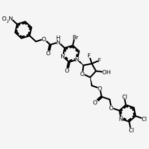 O=C(COc1nc(Cl)c(Cl)cc1Cl)OC[C@H]1O[C@@H](n2cc(Br)c(NC(=O)OCc3ccc([N+](=O)[O-])cc3)nc2=O)C(F)(F)C1O